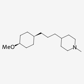 CO[C@H]1CC[C@@H](CCCC2CCN(C)CC2)CC1